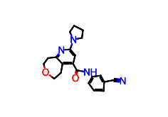 N#Cc1cccc(NC(=O)c2cc(N3CCCC3)nc3c2CCOCC3)c1